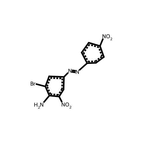 Nc1c(Br)cc(N=Nc2ccc([N+](=O)[O-])cc2)cc1[N+](=O)[O-]